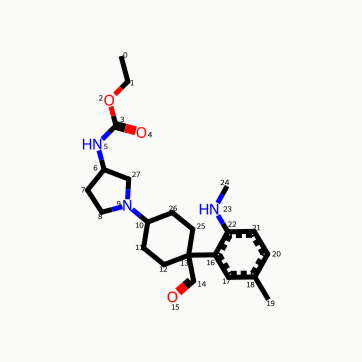 CCOC(=O)NC1CCN(C2CCC(C=O)(c3cc(C)ccc3NC)CC2)C1